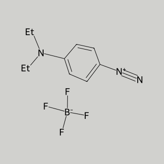 CCN(CC)c1ccc([N+]#N)cc1.F[B-](F)(F)F